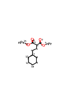 CCCOC(=O)C(CCC1CCCCC1)C(=O)OCCC